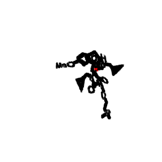 COc1ccc2c(c1)[C@]13CCN(CC4CC4)[C@H](C2)[C@]1(O)CC[C@]1(C3)C(=O)N(COCC[Si](C)(C)C)C(=O)N1CC1CC1